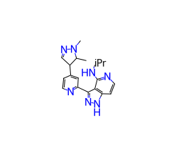 CC(C)Nc1nccc2[nH]nc(-c3cc(C4C=NN(C)C4C)ccn3)c12